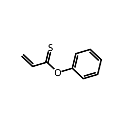 C=CC(=S)Oc1ccccc1